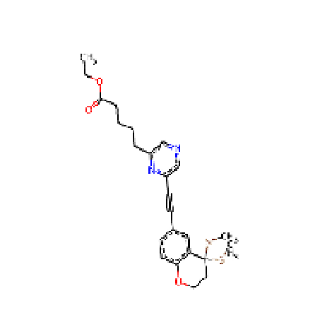 CCOC(=O)CCCCc1cncc(C#Cc2ccc3c(c2)C(SC)(SC)CCO3)n1